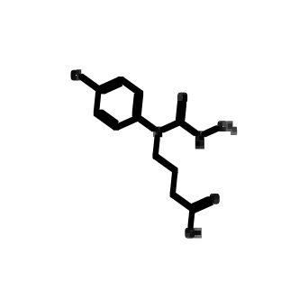 CNC(=O)N(CCCC(=O)O)c1ccc(Cl)cc1